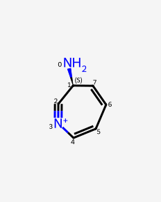 N[C@@H]1C#[N+]C=CC=C1